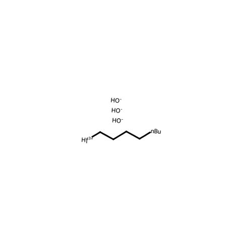 CCCCCCC[CH2][Hf+3].[OH-].[OH-].[OH-]